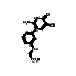 Cc1[nH]c(=O)c(C#N)cc1-c1cccc(OCC(=O)O)c1